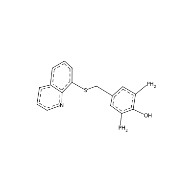 Oc1c(P)cc(CSc2cccc3cccnc23)cc1P